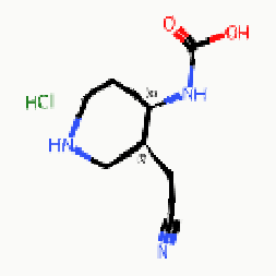 Cl.N#CC[C@H]1CNCC[C@H]1NC(=O)O